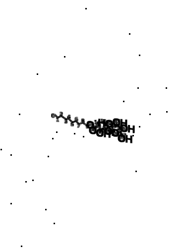 CCCCCCCCCCOC(=O)c1cccc(O[C@@H]2O[C@H](CO)[C@@H](O)[C@H](O)[C@H]2O)c1O